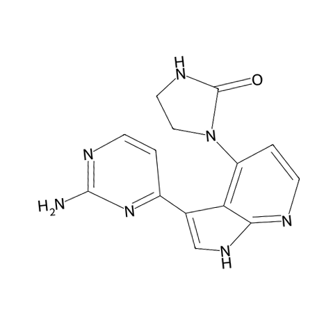 Nc1nccc(-c2c[nH]c3nccc(N4CCNC4=O)c23)n1